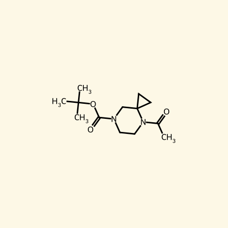 CC(=O)N1CCN(C(=O)OC(C)(C)C)CC12CC2